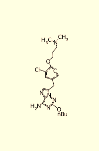 CCCCOc1nc(N)c2ncc(Cc3ccc(OCCCN(C)C)c(Cl)c3)n2n1